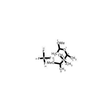 COC(C)OC(C)[N+](C)(C)C(C)OC.F[B-](F)(F)F